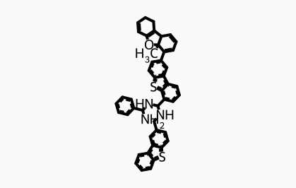 CC12OC3=C(CCC=C3)C1C=CC=C2c1ccc2sc3c(C(NCc4ccc5sc6ccccc6c5c4)NC(N)c4ccccc4)cccc3c2c1